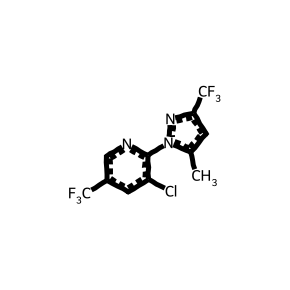 Cc1cc(C(F)(F)F)nn1-c1ncc(C(F)(F)F)cc1Cl